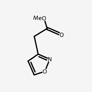 COC(=O)Cc1ccon1